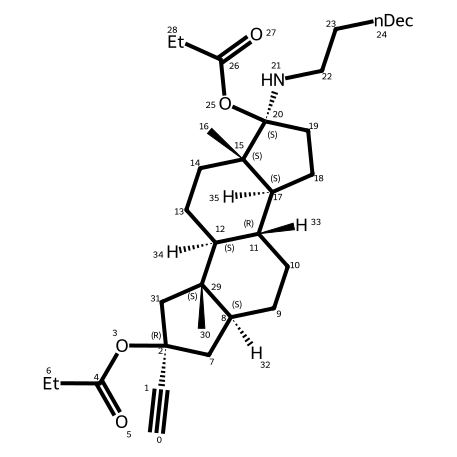 C#C[C@@]1(OC(=O)CC)C[C@@H]2CC[C@@H]3[C@H](CC[C@@]4(C)[C@H]3CC[C@]4(NCCCCCCCCCCCC)OC(=O)CC)[C@@]2(C)C1